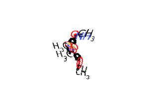 CCOc1ccc(C2ON(S(=O)(=O)c3ccc(C(=O)NC)cc3)C(C)C=C2C)cc1